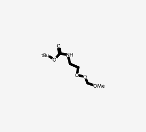 COCOOCCNC(=O)OC(C)(C)C